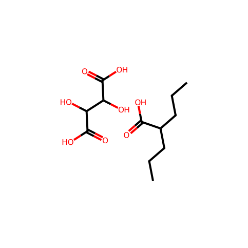 CCCC(CCC)C(=O)O.O=C(O)C(O)C(O)C(=O)O